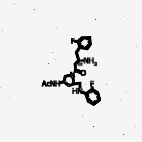 CC(=O)NC1CC(CNc2ccccc2F)N(C(=O)C[C@H](N)Cc2ccccc2F)C1